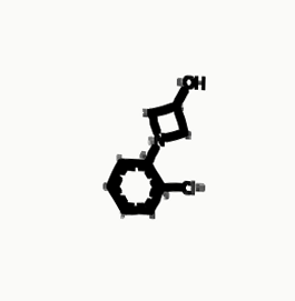 OC1CN(c2ccccc2Cl)C1